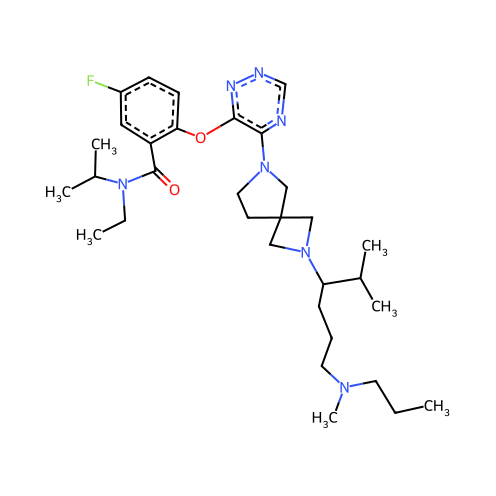 CCCN(C)CCCC(C(C)C)N1CC2(CCN(c3ncnnc3Oc3ccc(F)cc3C(=O)N(CC)C(C)C)C2)C1